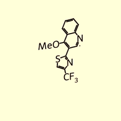 COc1c(-c2nc(C(F)(F)F)cs2)[c]nc2ccccc12